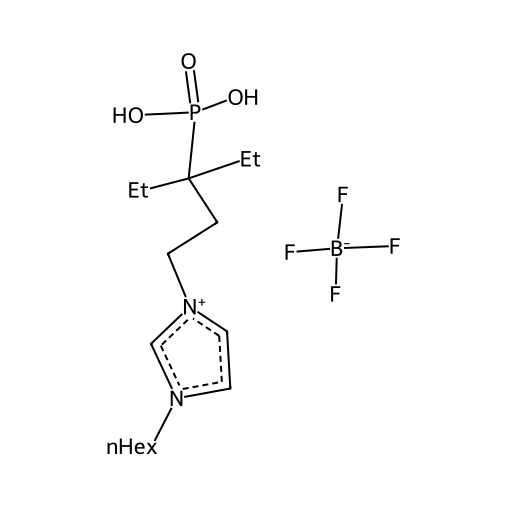 CCCCCCn1cc[n+](CCC(CC)(CC)P(=O)(O)O)c1.F[B-](F)(F)F